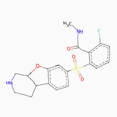 CNC(=O)c1c(F)cccc1S(=O)(=O)c1ccc2c(c1)OC1CNCCC21